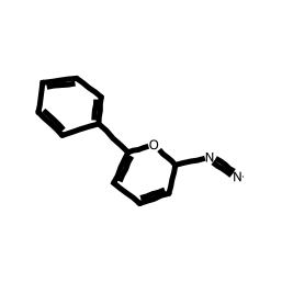 [N]=NC1C=CC=C(c2ccccc2)O1